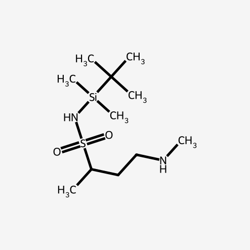 CNCCC(C)S(=O)(=O)N[Si](C)(C)C(C)(C)C